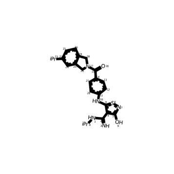 CC(C)NC(=N)c1c(O)nsc1Nc1ccc(C(=O)N2Cc3ccc(C(C)C)cc3C2)cc1